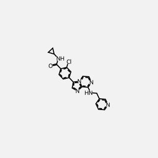 O=C(NC1CC1)c1ccc(-c2cnc3c(NCc4cccnc4)nccn23)cc1Cl